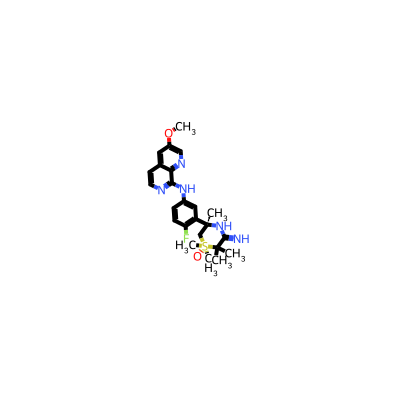 COc1cnc2c(Nc3ccc(F)c([C@]4(C)CS(C)(C)(=O)C(C)(C)C(=N)N4)c3)nccc2c1